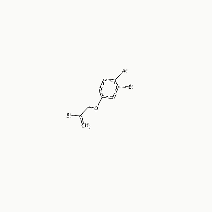 C=C(CC)COc1ccc(C(C)=O)c(CC)c1